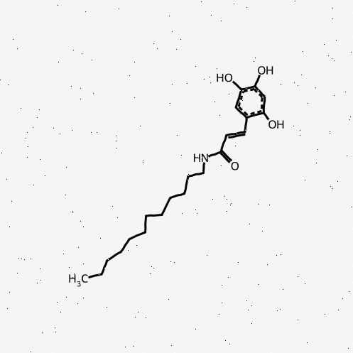 CCCCCCCCCCCCNC(=O)C=Cc1cc(O)c(O)cc1O